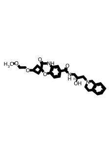 COCCOC1CC2(C1)Oc1ccc(C(=O)NC[C@H](O)CN3CCc4ccccc4C3)cc1NC2=O